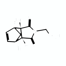 O=C(O)CN1C(=O)[C@@H]2[C@H](C1=O)[C@H]1C=C[C@@H]2C1